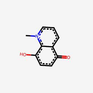 Cn1cccc2c(=O)ccc(O)c1-2